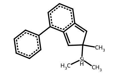 C[SiH](C)C1(C)C=c2cccc(-c3ccccc3)c2=C1